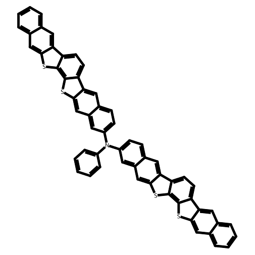 c1ccc(N(c2ccc3cc4c(cc3c2)sc2c4ccc3c4cc5ccccc5cc4sc32)c2ccc3cc4c(cc3c2)sc2c4ccc3c4cc5ccccc5cc4sc32)cc1